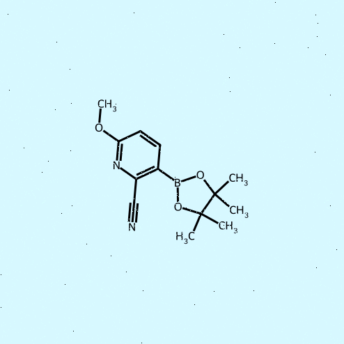 COc1ccc(B2OC(C)(C)C(C)(C)O2)c(C#N)n1